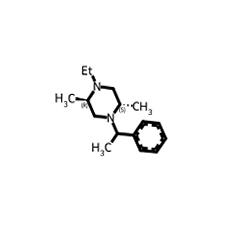 CCN1C[C@H](C)N(C(C)c2ccccc2)C[C@H]1C